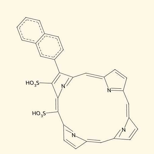 O=S(=O)(O)C1=C2N=C(C=C3C=CC(=N3)C=C3C=CC(=N3)C=C3C=CC1=N3)C(c1ccc3ccccc3c1)=C2S(=O)(=O)O